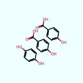 O=C(O)c1ccc(O)cc1.O=C(O)c1ccc(O)cc1.Oc1ccc(O)cc1